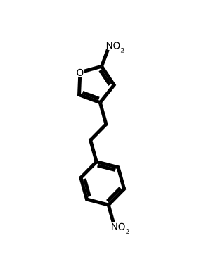 O=[N+]([O-])c1ccc(CCc2coc([N+](=O)[O-])c2)cc1